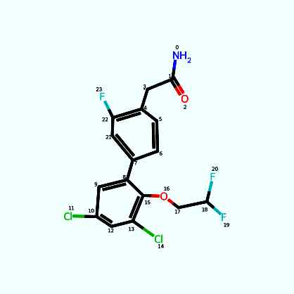 NC(=O)[CH]c1ccc(-c2cc(Cl)cc(Cl)c2OCC(F)F)cc1F